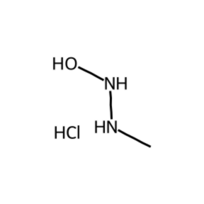 CNNO.Cl